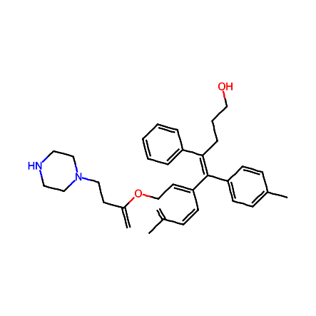 C=C(C)\C=C/C(=C\COC(=C)CCN1CCNCC1)C(=C(/CCCO)c1ccccc1)/c1ccc(C)cc1